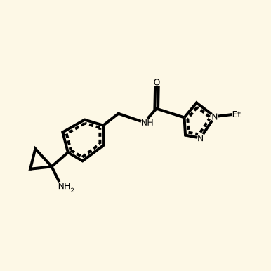 CCn1cc(C(=O)NCc2ccc(C3(N)CC3)cc2)cn1